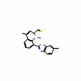 CC1=CC(C=S=O)N(C)c2c1cccc2-c1nc2ccc(C)cc2[nH]1